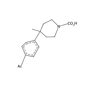 CC(=O)c1ccc(C2(C)CCN(C(=O)O)CC2)cc1